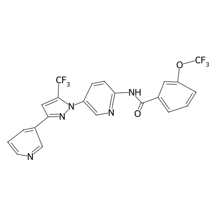 O=C(Nc1ccc(-n2nc(-c3cccnc3)cc2C(F)(F)F)cn1)c1cccc(OC(F)(F)F)c1